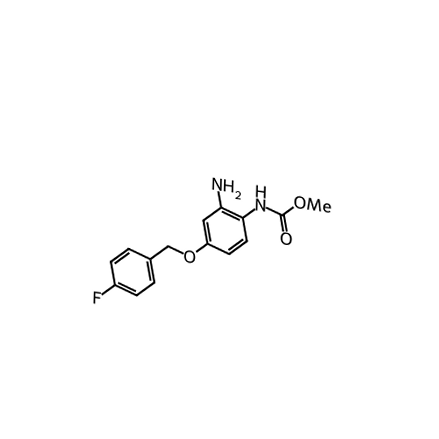 COC(=O)Nc1ccc(OCc2ccc(F)cc2)cc1N